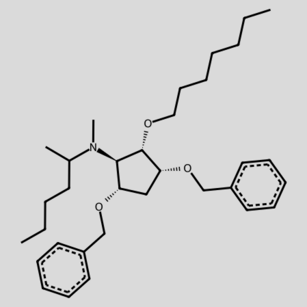 CCCCCCCO[C@H]1[C@H](N(C)C(C)CCCC)[C@@H](OCc2ccccc2)C[C@H]1OCc1ccccc1